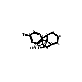 O=C(O)C[C@]1(c2ccc(F)cc2)C2CCCC1C[C@H](O)C2